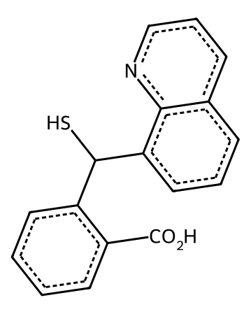 O=C(O)c1ccccc1C(S)c1cccc2cccnc12